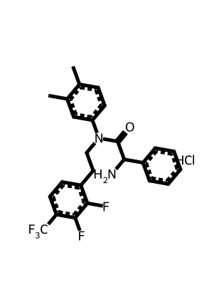 Cc1ccc(N(CCc2ccc(C(F)(F)F)c(F)c2F)C(=O)C(N)c2ccccc2)cc1C.Cl